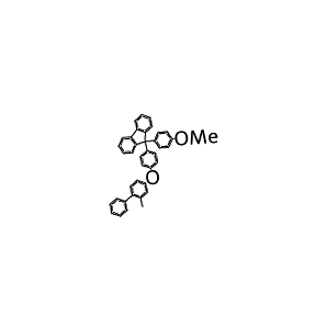 COc1ccc(C2(c3ccc(Oc4ccc(-c5ccccc5)c(C)c4)cc3)c3ccccc3-c3ccccc32)cc1